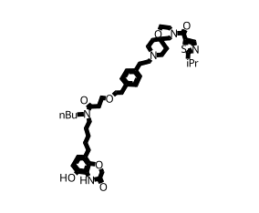 CCCCN(CCCCCc1ccc(O)c2c1OCC(=O)N2)C(=O)CCOCCc1ccc(CCN2CCC3(CC2)CN(C(=O)c2cnc(C(C)C)s2)CCO3)cc1